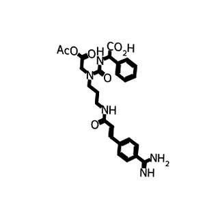 CC(=O)OC(=O)CN(CCCNC(=O)C=Cc1ccc(C(=N)N)cc1)C(=O)NC(C(=O)O)c1ccccc1